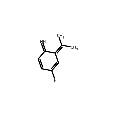 CC(C)=C1C=C(F)C=CC1=N